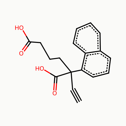 C#CC(CCCC(=O)O)(C(=O)O)c1cccc2ccccc12